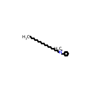 CCCCCCCCCCCCCCCCCCCN(CC)Cc1ccccc1